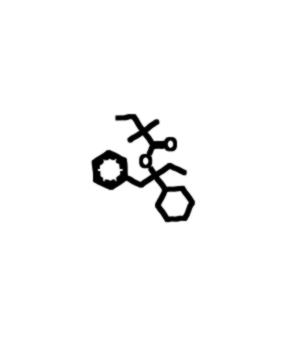 CCC(C)(C)C(=O)OC(CC)(Cc1ccccc1)C1CCCCC1